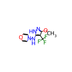 COc1n[nH]c(NN2C=COC=C2)c1C(F)(F)F